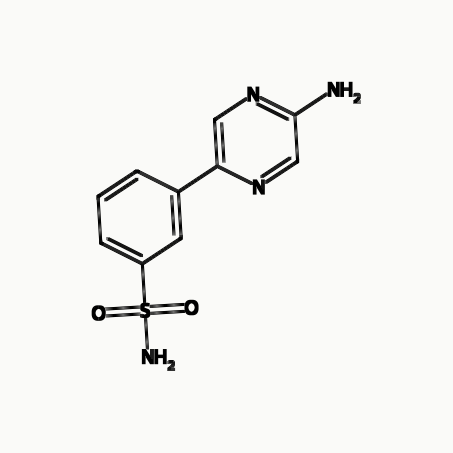 Nc1cnc(-c2cccc(S(N)(=O)=O)c2)cn1